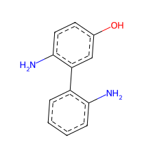 Nc1ccccc1-c1cc(O)ccc1N